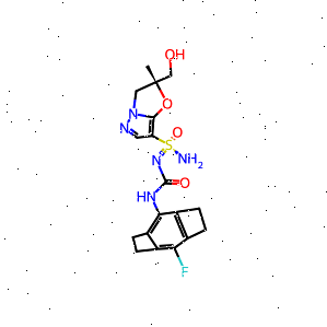 C[C@]1(CO)Cn2ncc([S@](N)(=O)=NC(=O)Nc3c4c(c(F)c5c3CC5)CC4)c2O1